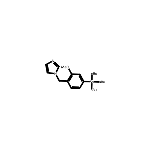 CCC[CH2][Sn]([CH2]CCC)([CH2]CCC)[c]1ccc(Cn2ccnc2)c(OC)c1